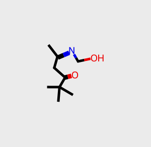 CC(CC(=O)C(C)(C)C)=NCO